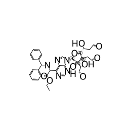 CCOC(=O)C(N=C(c1ccccc1)c1ccccc1)c1ncnc2c1ncn2[C@@H]1O[C@H](C(O)CC=O)[C@](O)(CC=O)[C@]1(O)CC=O